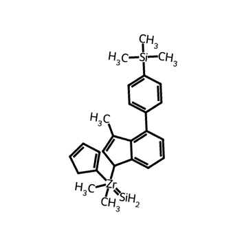 CC1=C[CH]([Zr]([CH3])([CH3])(=[SiH2])[C]2=CC=CC2)c2cccc(-c3ccc([Si](C)(C)C)cc3)c21